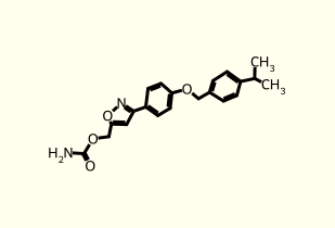 CC(C)c1ccc(COc2ccc(-c3cc(COC(N)=O)on3)cc2)cc1